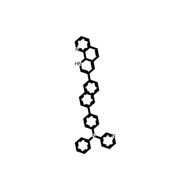 C1=Cc2cccnc2C2NC=C(c3ccc4cc(-c5ccc(N(c6ccccc6)c6cccnc6)cc5)ccc4c3)C=C12